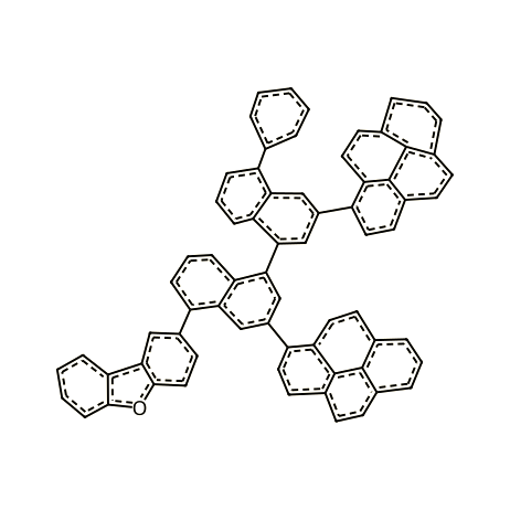 c1ccc(-c2cccc3c(-c4cc(-c5ccc6ccc7cccc8ccc5c6c78)cc5c(-c6ccc7oc8ccccc8c7c6)cccc45)cc(-c4ccc5ccc6cccc7ccc4c5c67)cc23)cc1